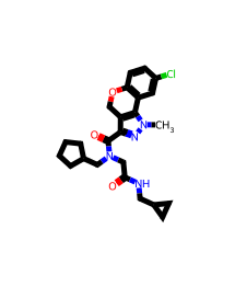 Cn1nc(C(=O)N(CC(=O)NCC2CC2)CC2CCCC2)c2c1-c1cc(Cl)ccc1OC2